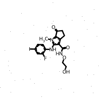 Cn1c(Nc2ccc(I)cc2F)c(C(=O)NOCCO)c2c1C(=O)CC2